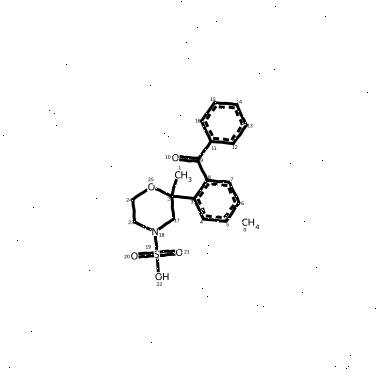 C.CC1(c2ccccc2C(=O)c2ccccc2)CN(S(=O)(=O)O)CCO1